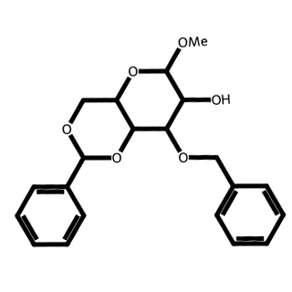 COC1OC2COC(c3ccccc3)OC2C(OCc2ccccc2)C1O